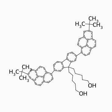 CC(C)(C)c1cc2ccc3ccc(-c4ccc5c(c4)C(CCCCCO)(CCCCCO)c4cc(-c6ccc7ccc8cc(C(C)(C)C)cc9ccc6c7c89)ccc4-5)c4ccc(c1)c2c34